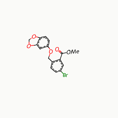 COC(=O)c1cc(Br)ccc1COc1ccc2c(c1)OCO2